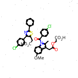 COc1ccc2c(c1)c(CC(=O)OCC(=O)O)c(C)n2C(=O)c1ccc(Cl)cc1.O=C(O)Cc1sc(-c2ccccc2)nc1-c1ccc(Cl)cc1